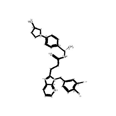 C[C@H](NC(=O)CCc1nc2cccnc2n1Cc1ccc(F)c(F)c1)c1ccc(N2CCC(O)C2)cc1